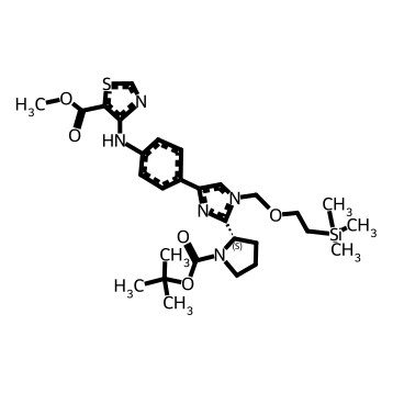 COC(=O)c1scnc1Nc1ccc(-c2cn(COCC[Si](C)(C)C)c([C@@H]3CCCN3C(=O)OC(C)(C)C)n2)cc1